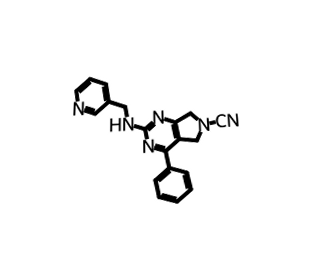 N#CN1Cc2nc(NCc3cccnc3)nc(-c3ccccc3)c2C1